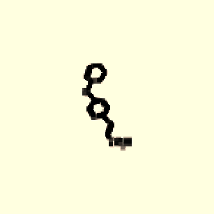 O=C(O)/C=C/c1ccc(OC2=CCCC=C2)cc1